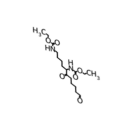 CCOC(=O)NCCCCC(NC(=O)OCC)C(=O)CCCCC=O